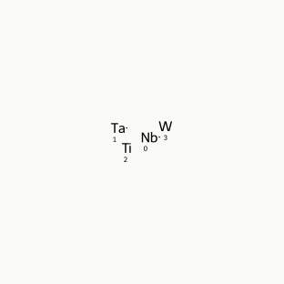 [Nb].[Ta].[Ti].[W]